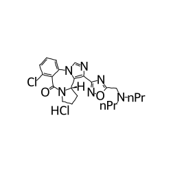 CCCN(CCC)Cc1nc(-c2ncn3c2[C@@H]2CCCN2C(=O)c2c(Cl)cccc2-3)no1.Cl